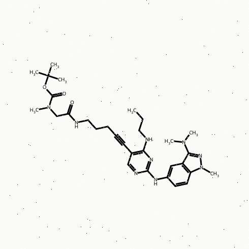 CCCNc1nc(Nc2ccc3c(c2)c(N(C)C)nn3C)ncc1C#CCCCNC(=O)CN(C)C(=O)OC(C)(C)C